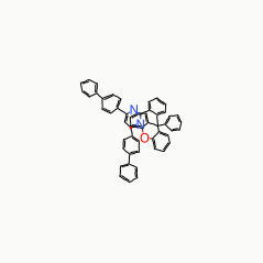 c1ccc(-c2ccc(-c3cc(-c4ccc(-c5ccccc5)cc4)nc(-c4ccccc4C4(c5ccccc5)c5ccccc5Oc5ccccc54)n3)cc2)cc1